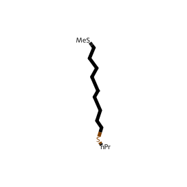 CCCSCCCC[CH]CCCCSC